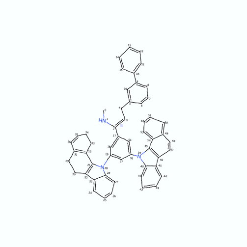 CN/C(=C\Cc1cccc(-c2ccccc2)c1)c1cc(-n2c3c(c4ccccc42)CCC2=C3CCC=C2)cc(-n2c3ccccc3c3ccc4ccccc4c32)c1